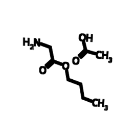 CC(=O)O.CCCCOC(=O)CN